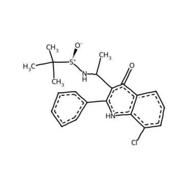 CC(N[S@+]([O-])C(C)(C)C)c1c(-c2ccccc2)[nH]c2c(Cl)cccc2c1=O